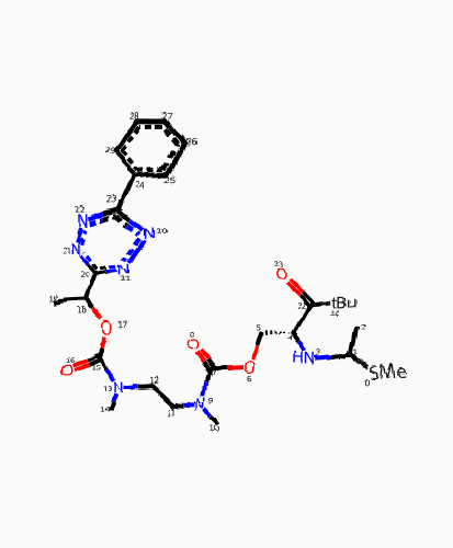 CSC(C)N[C@H](COC(=O)N(C)CCN(C)C(=O)OC(C)c1nnc(-c2ccccc2)nn1)C(=O)C(C)(C)C